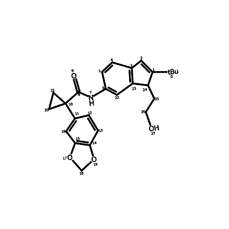 CC(C)(C)C1=Cc2ccc(NC(=O)C3(c4ccc5c(c4)OCO5)CC3)cc2C1CCO